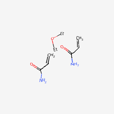 C=CC(N)=O.C=CC(N)=O.CCOCC